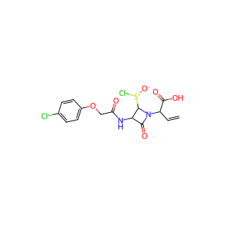 C=CC(C(=O)O)N1C(=O)C(NC(=O)COc2ccc(Cl)cc2)C1[S+]([O-])Cl